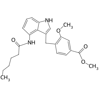 CCCCCC(=O)Nc1cccc2[nH]cc(Cc3ccc(C(=O)OC)cc3OC)c12